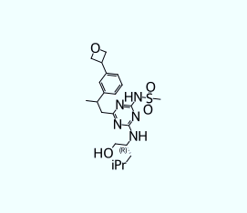 CC(C)C[C@H](CO)Nc1nc(CC(C)c2cccc(C3COC3)c2)nc(NS(C)(=O)=O)n1